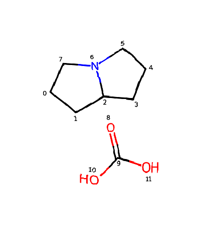 C1CC2CCCN2C1.O=C(O)O